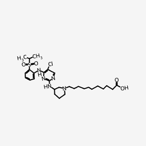 CC(C)S(=O)(=O)c1ccccc1Nc1nc(NC2CCCN(CCCCCCCCCCC(=O)O)C2)ncc1Cl